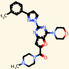 Cc1cccc(-c2ccn(-c3nc(N4CCOCC4)c4oc(C(=O)N5CCN(C)CC5)cc4n3)n2)c1